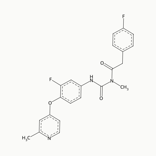 Cc1cc(Oc2ccc(NC(=O)N(C)C(=O)Cc3ccc(F)cc3)cc2F)ccn1